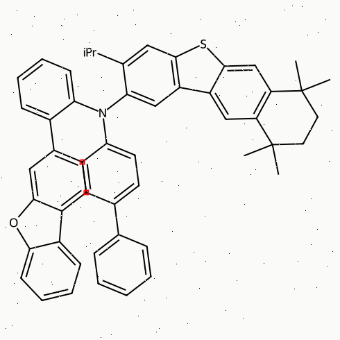 CC(C)c1cc2sc3cc4c(cc3c2cc1N(c1ccc(-c2ccccc2)cc1)c1ccccc1-c1ccc2c(c1)oc1ccccc12)C(C)(C)CCC4(C)C